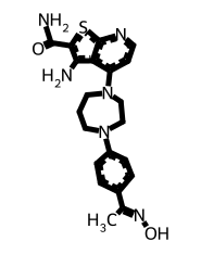 CC(=NO)c1ccc(N2CCCN(c3ccnc4sc(C(N)=O)c(N)c34)CC2)cc1